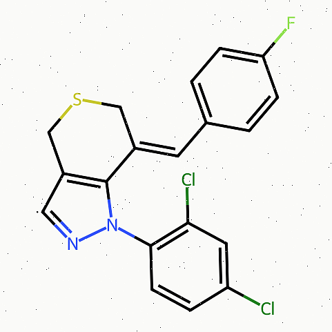 Fc1ccc(C=C2CSCc3[c]nn(-c4ccc(Cl)cc4Cl)c32)cc1